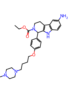 CCOC(=O)N1CCc2c([nH]c3ccc(N)cc23)C1c1ccc(OCCCCN2CCN(C)CC2)cc1